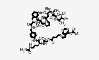 C=C(NCC(=O)N(C)C([C@@H](C)CC)[C@@H](CC(=O)N1CCC[C@H]1[C@H](OC)[C@@H](C)C(=O)N[C@@H](Cc1ccccc1)C(=O)NCc1ccc(NC(=O)[C@H](CCCNC(N)=O)NC(=O)CNC(=O)CCCn2ccc3c(SC(CC)CC)ncnc32)cc1)OC)C(C(C)C)N(C)CC